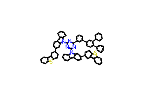 c1ccc(-c2ccc(-c3cccc(-c4nc(-n5c6ccccc6c6ccc(-c7ccc8sc9ccccc9c8c7)cc65)nc(-n5c6ccccc6c6ccc(-c7ccc8sc9ccccc9c8c7)cc65)n4)c3)cc2-c2ccccc2)cc1